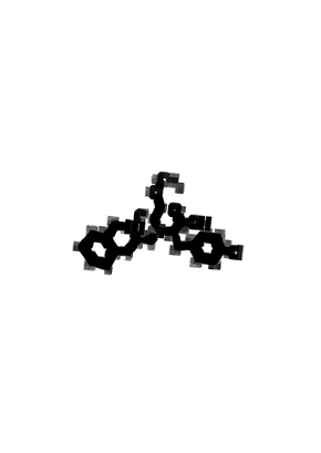 COCCN(C[C@H]1Cc2ccccc2CN1C)[C@H](Cc1ccc(Cl)cc1)C(=O)O